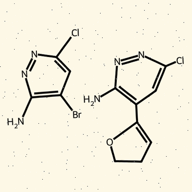 Nc1nnc(Cl)cc1Br.Nc1nnc(Cl)cc1C1=CCCO1